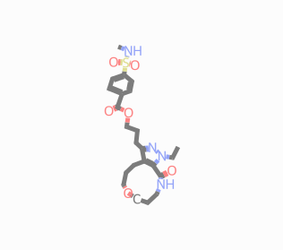 CCn1nc(CCCOC(=O)c2ccc(S(=O)(=O)NC)cc2)c2c1C(=O)NCCCOCCC2